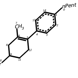 CCCCCc1ccc(C2=C(C)CC(CCC)CC2)cc1